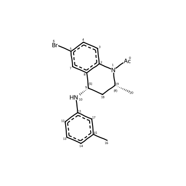 CC(=O)N1c2ccc(Br)cc2[C@@H](Nc2cccc(C)c2)C[C@H]1C